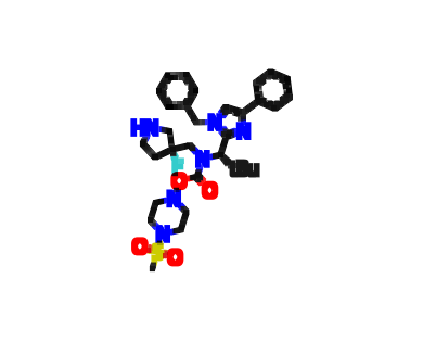 CC(C)(C)[C@H](c1nc(-c2ccccc2)cn1Cc1ccccc1)N(C[C@]1(F)CCNC1)C(=O)ON1CCN(S(C)(=O)=O)CC1